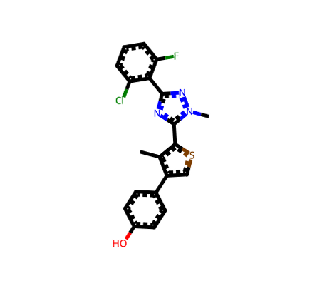 Cc1c(-c2ccc(O)cc2)csc1-c1nc(-c2c(F)cccc2Cl)nn1C